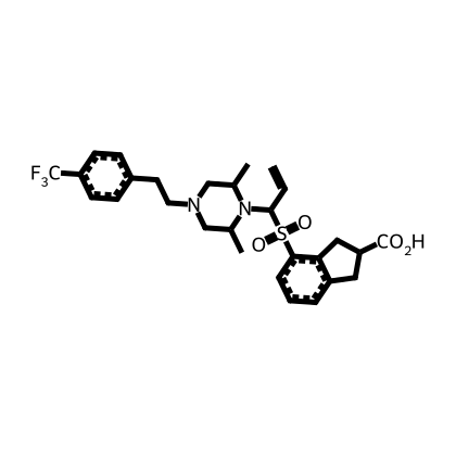 C=CC(N1C(C)CN(CCc2ccc(C(F)(F)F)cc2)CC1C)S(=O)(=O)c1cccc2c1CC(C(=O)O)C2